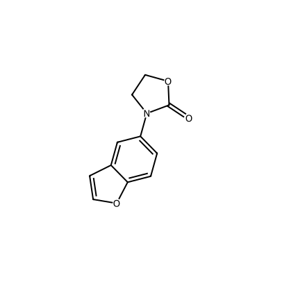 O=C1OCCN1c1ccc2occc2c1